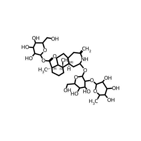 C=C1CC2CCC3[C@](C)(C(=O)OC4OC(CO)C(O)C(O)C4O)CCC[C@@]3(C)[C@@H]2CC(OC2OC(CO)C(O)C(O)C2OC2OC(C)C(O)C(O)C2O)N1